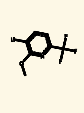 [Li][c]1ccc(C(F)(F)F)nc1OC